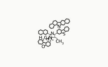 CCC(C)C(/N=C(\N=C(/C)c1cccc2oc3ccccc3c12)c1ccc2ccccc2c1)c1cc(-n2c3cc4ccccc4cc3c3ccc4ccccc4c32)c2c(c1)sc1ccccc12